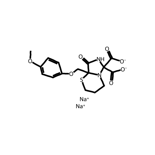 COc1ccc(OCC23SCCCN2C(C(=O)[O-])(C(=O)[O-])NC3=O)cc1.[Na+].[Na+]